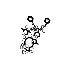 CC[C@@H](O)[C@@](C)(O)[C@@H]1OC(=O)[C@H](C)[C@H](OC2CC(C)(OC)C(O)C(C)O2)[C@H](C)[C@@H](OC2OC=CC(N(C)C(=O)OCc3ccccc3)C2OC(=O)OCc2ccccc2)[C@@]2(C)CC(C)C(O2)[C@@H]1C